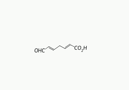 O=CC=CCC=CC(=O)O